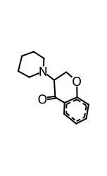 O=C1c2ccccc2OCC1N1CCCCC1